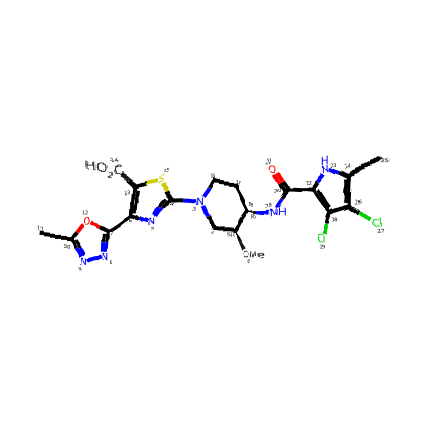 CO[C@H]1CN(c2nc(-c3nnc(C)o3)c(C(=O)O)s2)CC[C@H]1NC(=O)c1[nH]c(C)c(Cl)c1Cl